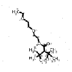 CCOCCOCCOC(=O)C(C(C)(C)C)C(C)(C)C